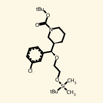 CC(C)(C)OC(=O)N1CCC[C@@H]([C@@H](OCCO[Si](C)(C)C(C)(C)C)c2cccc(Cl)c2)C1